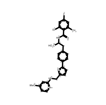 CCc1cc(F)cc(C)c1C(=O)NC(Cc1ccc(-c2ccc(CNc3cc(OC)ccn3)o2)cc1)C(=O)O